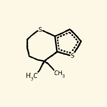 CC1(C)CCSc2ccsc21